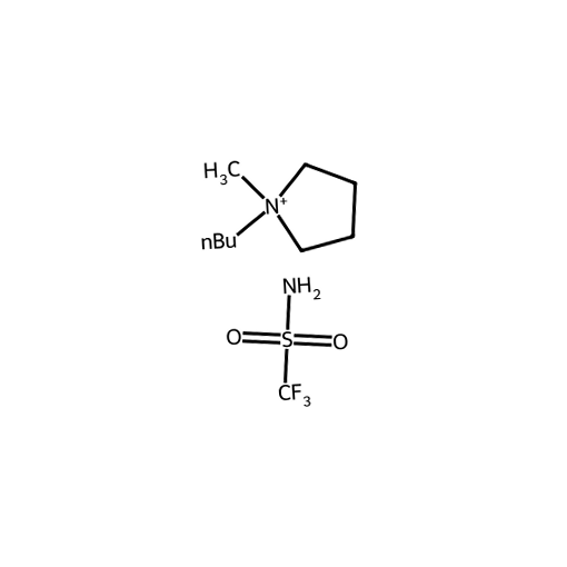 CCCC[N+]1(C)CCCC1.NS(=O)(=O)C(F)(F)F